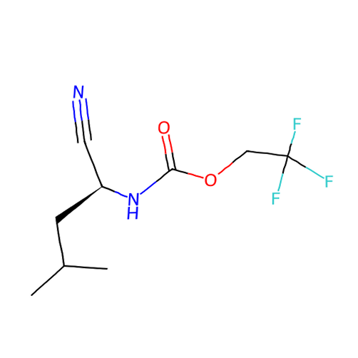 CC(C)C[C@@H](C#N)NC(=O)OCC(F)(F)F